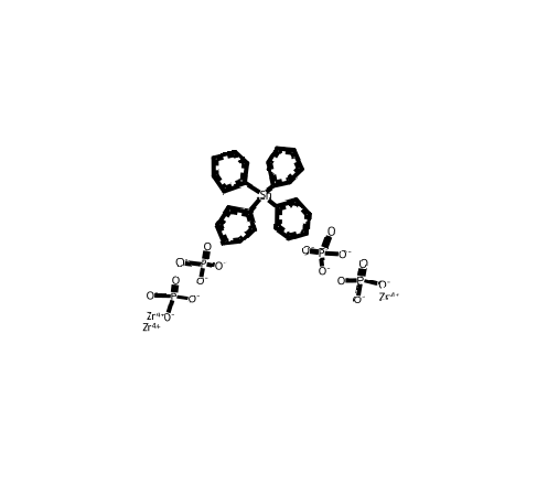 O=P([O-])([O-])[O-].O=P([O-])([O-])[O-].O=P([O-])([O-])[O-].O=P([O-])([O-])[O-].[Zr+4].[Zr+4].[Zr+4].c1cc[c]([Sn]([c]2ccccc2)([c]2ccccc2)[c]2ccccc2)cc1